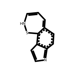 C1=CNSc2c3c(ccc2=C1)=NC=C3